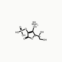 O=C1O[C@H]([C@@H](O)CO)C(O)=C1OP(=O)(O)O.[KH].[MgH2]